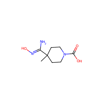 CC1(C(N)=NO)CCN(C(=O)O)CC1